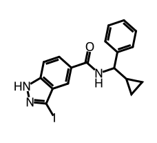 O=C(NC(c1ccccc1)C1CC1)c1ccc2[nH]nc(I)c2c1